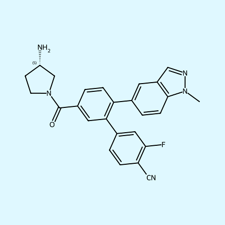 Cn1ncc2cc(-c3ccc(C(=O)N4CC[C@H](N)C4)cc3-c3ccc(C#N)c(F)c3)ccc21